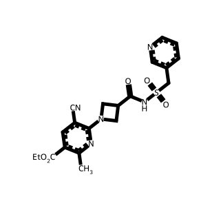 CCOC(=O)c1cc(C#N)c(N2CC(C(=O)NS(=O)(=O)Cc3cccnc3)C2)nc1C